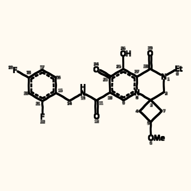 CCN1CC2(CC(OC)C2)n2cc(C(=O)NCc3ccc(F)cc3F)c(=O)c(O)c2C1=O